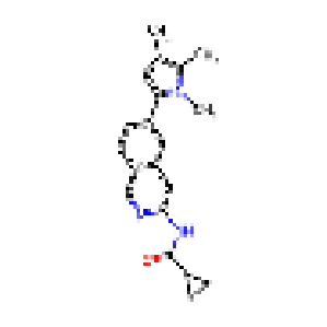 Cc1cc(-c2ccc3cnc(NC(=O)C4CC4)cc3c2)n(C)c1C